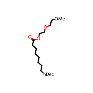 CCCCCCCCCCCCCCCCCC(=O)OCCOCCOC